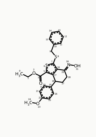 CCOC(=O)c1sc(SCc2ccccc2)c2c1C(c1ccc(OC)cc1)CCC2=NO